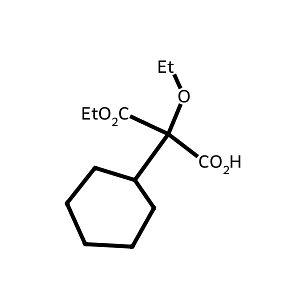 CCOC(=O)C(OCC)(C(=O)O)C1CCCCC1